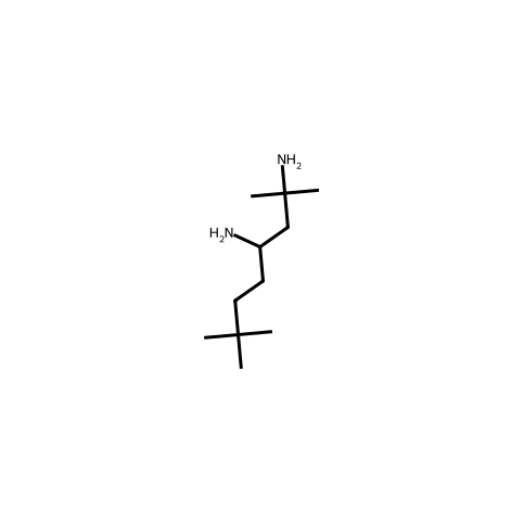 CC(C)(C)CCC(N)CC(C)(C)N